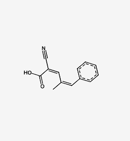 CC(=Cc1ccccc1)C=C(C#N)C(=O)O